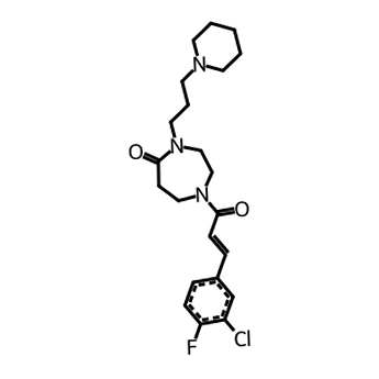 O=C(C=Cc1ccc(F)c(Cl)c1)N1CCC(=O)N(CCCN2CCCCC2)CC1